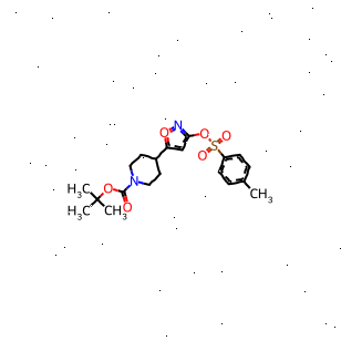 Cc1ccc(S(=O)(=O)Oc2cc(C3CCN(C(=O)OC(C)(C)C)CC3)on2)cc1